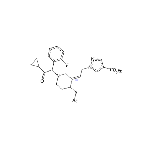 CCOC(=O)c1cnn(C/C=C2\CN(C(C(=O)C3CC3)c3ccccc3F)CCC2SC(C)=O)c1